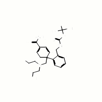 CCCN(CCC)CC1(c2ccccc2CNC(=O)OC(C)(C)C)C=CC(C(N)=O)=CC1